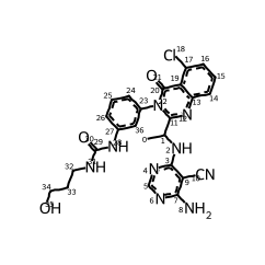 CC(Nc1ncnc(N)c1C#N)c1nc2cccc(Cl)c2c(=O)n1-c1cccc(NC(=O)NCCCO)c1